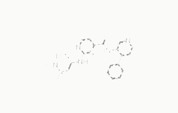 CN(N)/C=C(\N)Nc1nccc(C(=O)Nc2cnccc2-c2ccccc2)n1